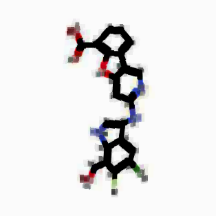 O=C(O)c1cccc2c1oc1cc(Nc3c[nH]c4c(CO)c(F)c(Cl)cc34)ncc12